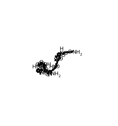 CSSC(C)c1ccc(NC(=O)COCCOCCN)cc1C(=O)OCCCCC(=O)NCC#Cc1cn([C@H]2C[C@@H](OC(=O)c3ccccc3C(C)N)C(COP(=O)(O)OP(=O)(O)OP(=O)(O)O)O2)c(=O)nc1N